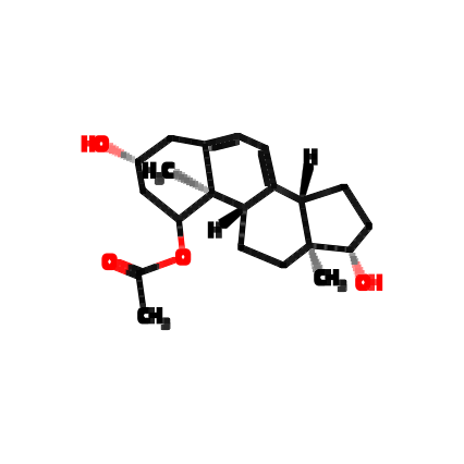 CC(=O)OC1C[C@H](O)CC2=CC=C3[C@@H]4CC[C@H](O)[C@@]4(C)CC[C@@H]3[C@]21C